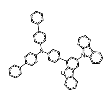 c1ccc(-c2ccc(N(c3ccc(-c4ccccc4)cc3)c3ccc(-c4cc(-n5c6ccccc6c6ccccc65)cc5c4oc4ccccc45)cc3)cc2)cc1